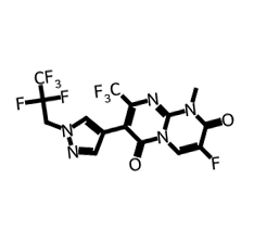 Cn1c(=O)c(F)cn2c(=O)c(-c3cnn(CC(F)(F)C(F)(F)F)c3)c(C(F)(F)F)nc12